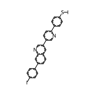 ISc1ccc(-c2ccc(-c3cnc4cc(-c5ccc(I)cc5)ccc4c3)cn2)cc1